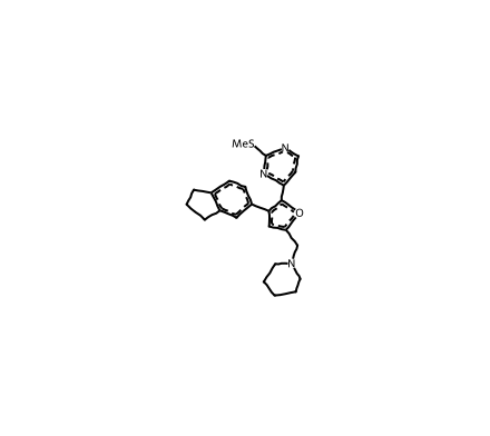 CSc1nccc(-c2oc(CN3CCCCC3)cc2-c2ccc3c(c2)CCC3)n1